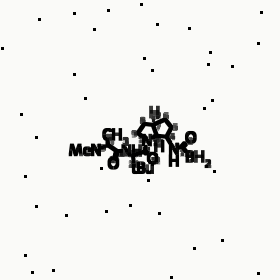 BC(=O)NC1CC[C@@H]2CCN(C(=O)C(NC(=O)[C@H](C)NC)C(C)(C)C)[C@H]12